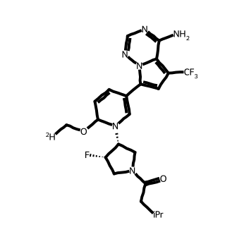 [2H]COC1C=CC(c2cc(C(F)(F)F)c3c(N)ncnn23)=CN1[C@@H]1CN(C(=O)CC(C)C)C[C@@H]1F